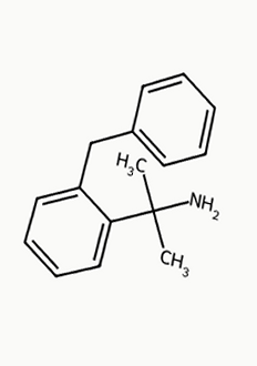 CC(C)(N)c1ccccc1Cc1ccccc1